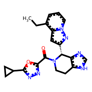 CCc1cccn2nc([C@@H]3c4nc[nH]c4CCN3C(=O)c3nnc(C4CC4)o3)cc12